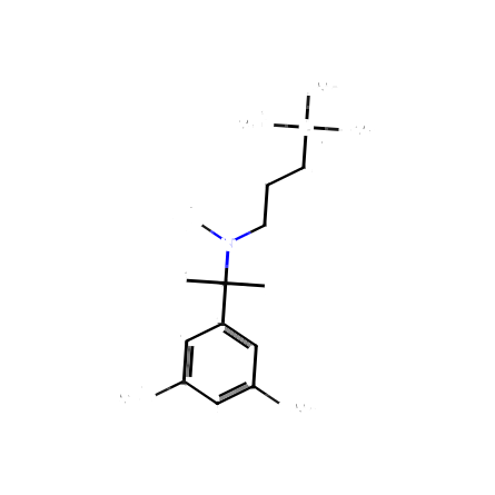 COc1cc(OC)cc(C(C)(C)N(CCC[Si](OC)(OC)OC)C(=O)O)c1